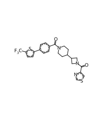 O=C(c1ccc(-c2ccc(C(F)(F)F)s2)cc1)N1CCC(C2CN(C(=O)c3cscn3)C2)CC1